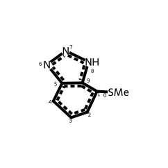 CSc1cccc2nn[nH]c12